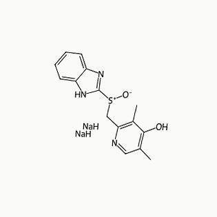 Cc1cnc(C[S+]([O-])c2nc3ccccc3[nH]2)c(C)c1O.[NaH].[NaH]